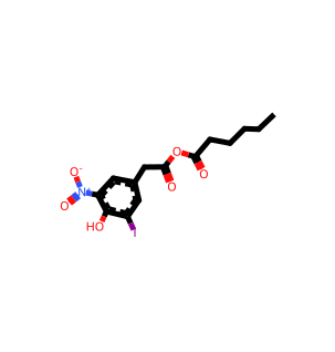 CCCCCC(=O)OC(=O)Cc1cc(I)c(O)c([N+](=O)[O-])c1